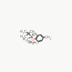 [CH2]c1ccc(O[Si](C)(C)C(C)(C)C)cc1.[Cl][Mg][Cl]